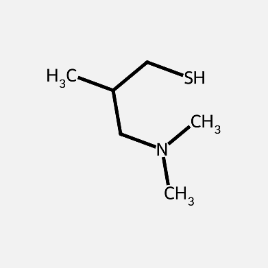 CC(CS)CN(C)C